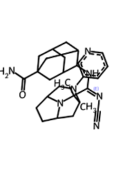 CC(C)(/C(=N\C#N)NC1C2CC3CC1CC(C(N)=O)(C3)C2)N1C2CCC1CN(c1cccnc1)CC2